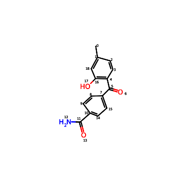 Cc1ccc(C(=O)c2ccc(C(N)=O)cc2)c(O)c1